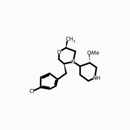 CO[C@@H]1CNCCC1N1C[C@H](C)OC[C@@H]1Cc1ccc(Cl)cc1